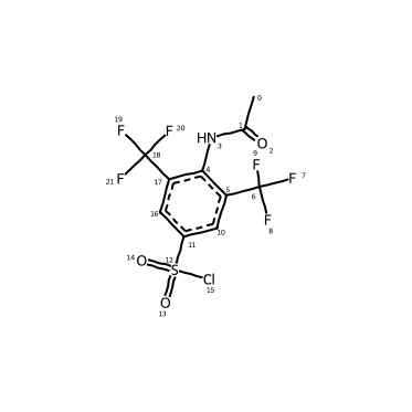 CC(=O)Nc1c(C(F)(F)F)cc(S(=O)(=O)Cl)cc1C(F)(F)F